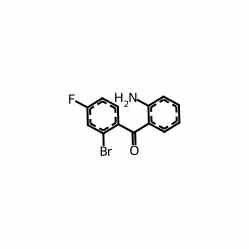 Nc1ccccc1C(=O)c1ccc(F)cc1Br